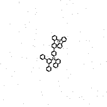 c1ccc(-c2cc(-c3ccccc3)cc(N(c3ccc(-c4ccc(-c5ccccc5-n5c6ccccc6c6ccccc65)cc4)cc3)c3cccc4ccccc34)c2)cc1